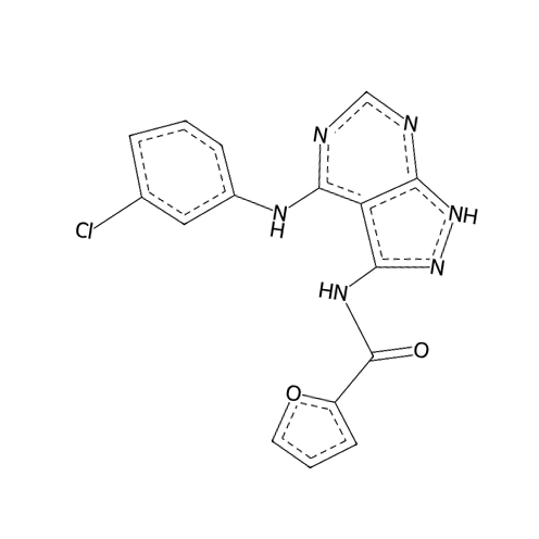 O=C(Nc1n[nH]c2ncnc(Nc3cccc(Cl)c3)c12)c1ccco1